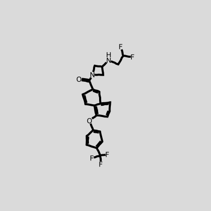 O=C(c1ccc2c(Oc3ccc(C(F)(F)F)cc3)cccc2c1)N1CC(NCC(F)F)C1